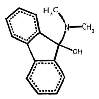 CN(C)C1(O)c2ccccc2-c2ccccc21